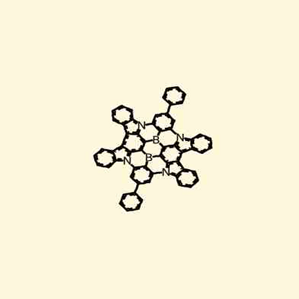 c1ccc(-c2cc3c4c(c2)-n2c5ccccc5c5c6c7ccccc7n7c6c6c(c52)B4c2c4c5c(c8ccccc8n5-c5cc(-c8ccccc8)cc-7c5B46)c4c5ccccc5n-3c24)cc1